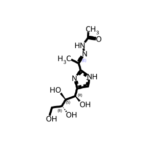 CC(=O)N/N=C(\C)c1nc([C@@H](O)[C@H](O)[C@H](O)CO)c[nH]1